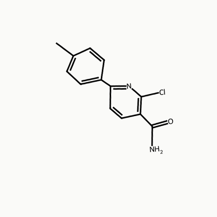 Cc1ccc(-c2ccc(C(N)=O)c(Cl)n2)cc1